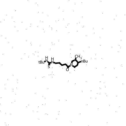 CCCCC1CCN(C(=O)CCCCNC(=S)NC(C)(C)C)CC1C